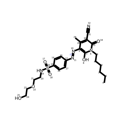 CCCCCCn1c(O)c(/N=N/c2ccc(S(=O)(=O)NCCOCCO)cc2)c(C)c(C#N)c1=O